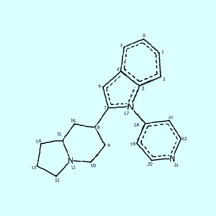 c1ccc2c(c1)cc(C1CCN3CCCC3C1)n2-c1ccncc1